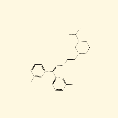 Cl.O=C(O)C1CCCN(CCON=C(c2cccc(Cl)c2)c2cccc(Cl)c2)C1